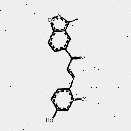 Cc1noc2ccc(C(=O)C=Cc3ccc(O)cc3O)cc12